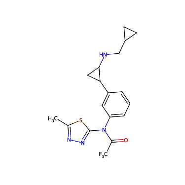 Cc1nnc(N(C(=O)C(F)(F)F)c2cccc(C3CC3NCC3CC3)c2)s1